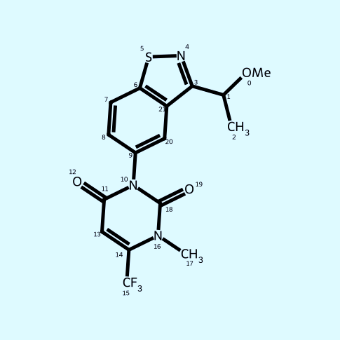 COC(C)c1nsc2ccc(-n3c(=O)cc(C(F)(F)F)n(C)c3=O)cc12